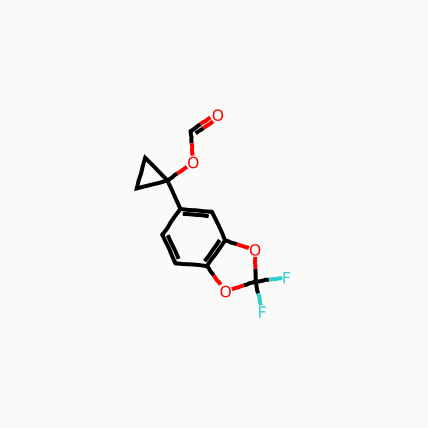 O=COC1(c2ccc3c(c2)OC(F)(F)O3)CC1